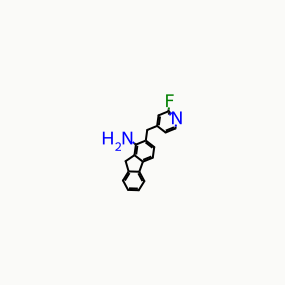 Nc1c(Cc2ccnc(F)c2)ccc2c1Cc1ccccc1-2